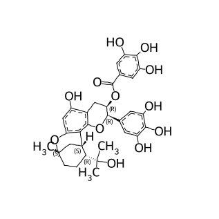 CC(C)(O)[C@@H]1CC[C@@]2(C)C[C@@H]1c1c(cc(O)c3c1O[C@H](c1cc(O)c(O)c(O)c1)[C@H](OC(=O)c1cc(O)c(O)c(O)c1)C3)O2